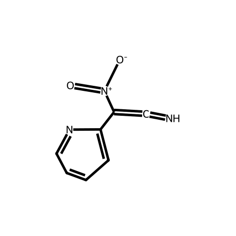 N=C=C(c1ccccn1)[N+](=O)[O-]